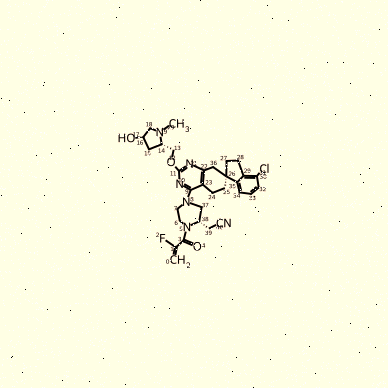 C=C(F)C(=O)N1CCN(c2nc(OC[C@@H]3C[C@@H](O)CN3C)nc3c2CC[C@@]2(CCc4c(Cl)cccc42)C3)C[C@@H]1CC#N